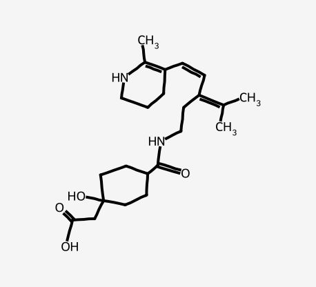 CC(C)=C(/C=C\C1=C(C)NCCC1)CCNC(=O)C1CCC(O)(CC(=O)O)CC1